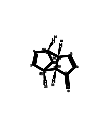 O=C1C=C[C@H]2[C@@H]1[C@H]1C=C[C@@H]2C1